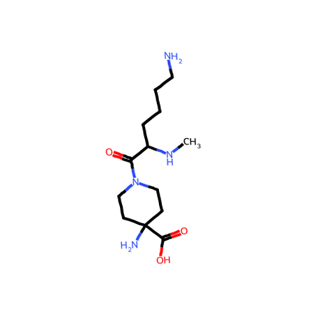 CNC(CCCCN)C(=O)N1CCC(N)(C(=O)O)CC1